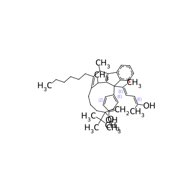 C=C(O)/C=C\C1=C/CC(OC)(C(C)(C)C)CCCC2=C(CCCCCC)C(C)C3=C(C2C)C1(/C(C)=C/C=C(\C)O)c1ccccc13